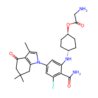 Cc1cn(-c2cc(F)c(C(N)=O)c(N[C@H]3CC[C@H](OC(=O)CN)CC3)c2)c2c1C(=O)CC(C)(C)C2